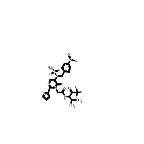 CC(C)C(NC(=O)Cn1c(-c2cccs2)ncc(N(Cc2ccc([N+](=O)[O-])cc2)S(N)(=O)=O)c1=O)C(=O)C(F)(F)F